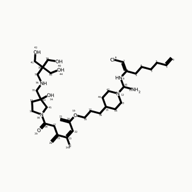 C=CCCCC/C(=C/Cl)NC(N)N1CCC(CCCOC(=C)/C=C(/F)C(=C)CC(=O)N2CCC(O)(CNCC(CO)(CO)CO)C2)CC1